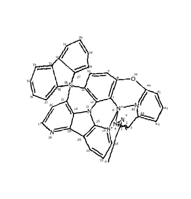 Cc1cc2n(n1)[N+]13c4c(ccc5c4-n4c6c(ccnc6c6ccc[n+]1c64)[Si]51c4ccccc4-c4ccccc41)Oc1cccc-2[n+]13